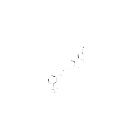 CN(CCC(C)(C)S(=O)(=O)c1cccc(C(F)(F)F)c1)C(=O)c1cc(C(F)(F)F)nn1C